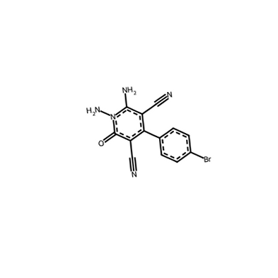 N#Cc1c(-c2ccc(Br)cc2)c(C#N)c(=O)n(N)c1N